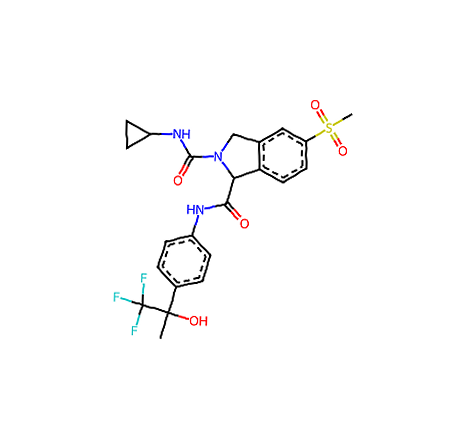 CC(O)(c1ccc(NC(=O)C2c3ccc(S(C)(=O)=O)cc3CN2C(=O)NC2CC2)cc1)C(F)(F)F